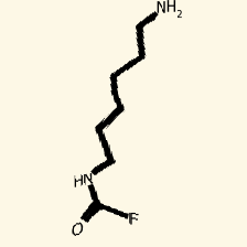 NCCCCCCNC(=O)F